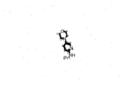 CC(C)Nc1ccc(N2CCOCC2)cn1